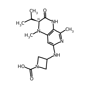 Cc1nc(NC2CN(C(=O)O)C2)cc2c1NC(=O)[C@H](C(C)C)N2C